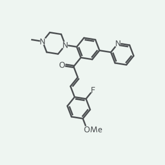 COc1ccc(/C=C/C(=O)c2cc(-c3ccccn3)ccc2N2CCN(C)CC2)c(F)c1